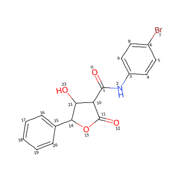 O=C(Nc1ccc(Br)cc1)C1C(=O)OC(c2ccccc2)C1O